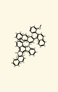 COc1ccccc1-c1ccc2ccccc2c1-c1cc(-n2c3ccccc3c3c4c5ccc6ccccc6c5sc4c4ccccc4c32)c2cc3ccccc3cc2c1